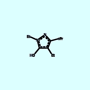 CCCc1nn(CC)c(O)c1CC